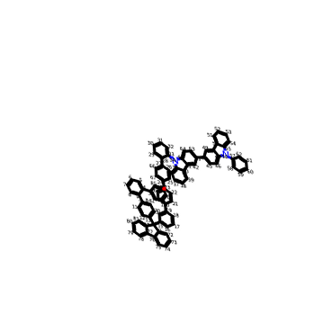 c1ccc(-c2ccccc2-c2ccc(C3(c4cccc(-c5ccc(-c6ccc(-c7ccccc7-n7c8ccccc8c8cc(-c9ccc%10c(c9)c9ccccc9n%10-c9ccccc9)ccc87)cc6)cc5)c4)c4ccccc4-c4ccccc43)cc2)cc1